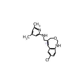 Cc1cc(C)nc(NC/C2=C/c3cc(Cl)ccc3NCOC2)c1